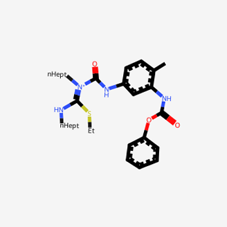 CCCCCCCNC(SCC)=[N+](CCCCCCC)C(=O)Nc1ccc(C)c(NC(=O)Oc2ccccc2)c1